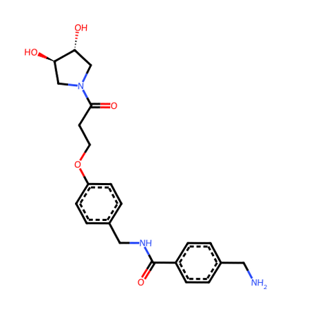 NCc1ccc(C(=O)NCc2ccc(OCCC(=O)N3C[C@@H](O)[C@H](O)C3)cc2)cc1